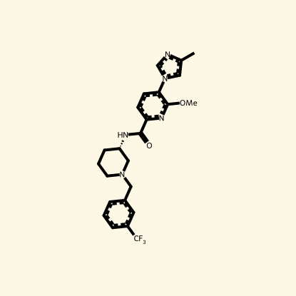 COc1nc(C(=O)N[C@H]2CCCN(Cc3cccc(C(F)(F)F)c3)C2)ccc1-n1cnc(C)c1